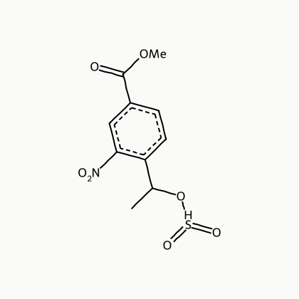 COC(=O)c1ccc(C(C)O[SH](=O)=O)c([N+](=O)[O-])c1